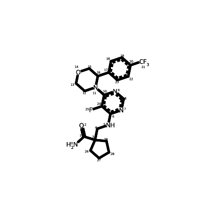 NC(=O)C1(CNc2ncnc(N3CCOCC3c3ccc(C(F)(F)F)cc3)c2F)CCCC1